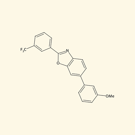 COc1cccc(-c2ccc3nc(-c4cccc(C(F)(F)F)c4)oc3c2)c1